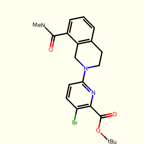 CNC(=O)c1cccc2c1CN(c1ccc(Br)c(C(=O)OC(C)(C)C)n1)CC2